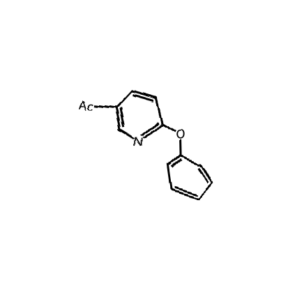 CC(=O)c1ccc(Oc2ccccc2)nc1